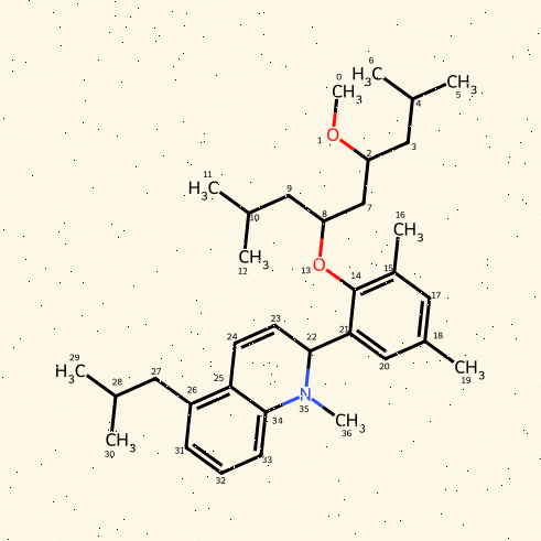 COC(CC(C)C)CC(CC(C)C)Oc1c(C)cc(C)cc1C1C=Cc2c(CC(C)C)cccc2N1C